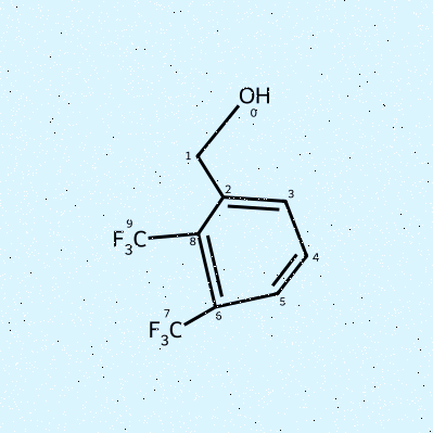 OCc1cccc(C(F)(F)F)c1C(F)(F)F